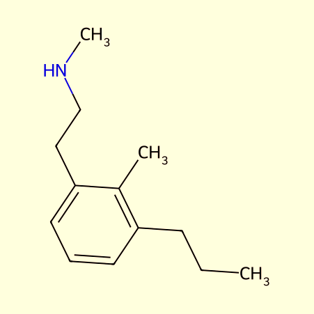 CCCc1cccc(CCNC)c1C